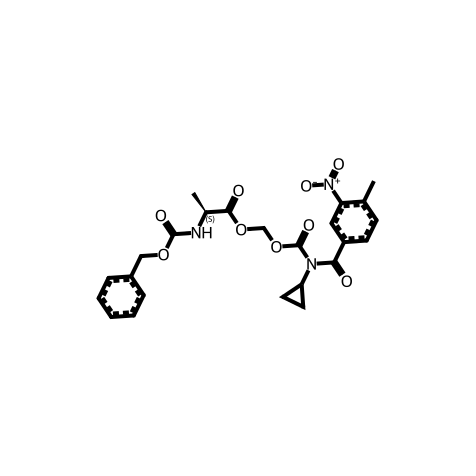 Cc1ccc(C(=O)N(C(=O)OCOC(=O)[C@H](C)NC(=O)OCc2ccccc2)C2CC2)cc1[N+](=O)[O-]